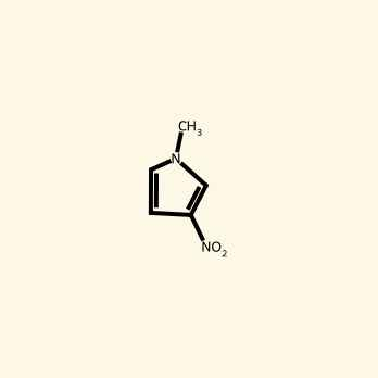 Cn1ccc([N+](=O)[O-])c1